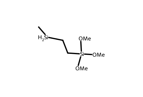 CO[Si](CC[SiH2]C)(OC)OC